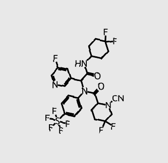 N#CN1CC(F)(F)CCC1C(=O)N(c1ccc(S(F)(F)(F)(F)F)cc1)C(C(=O)NC1CCC(F)(F)CC1)c1cncc(F)c1